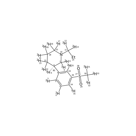 [2H]c1c([2H])c([C@]2([2H])C([2H])([2H])N(C([2H])([2H])CC)C([2H])([2H])C([2H])([2H])C2([2H])[2H])c([2H])c(S(=O)(=O)C([2H])([2H])[2H])c1[2H]